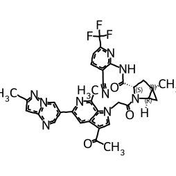 CC(=O)c1cn(CC(=O)N2[C@H](C(=O)Nc3nc(C(F)(F)F)ccc3C#N)C[C@@]3(C)C[C@@H]23)c2c(C)nc(-c3cnc4cc(C)nn4c3)cc12